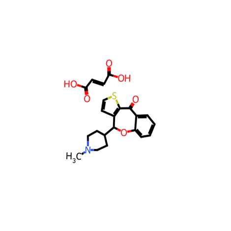 CN1CCC(C2Oc3ccccc3C(=O)c3sccc32)CC1.O=C(O)/C=C/C(=O)O